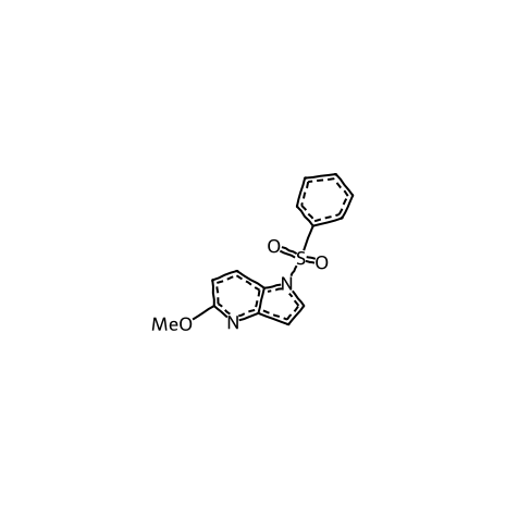 COc1ccc2c(ccn2S(=O)(=O)c2ccccc2)n1